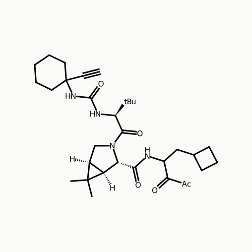 C#CC1(NC(=O)N[C@H](C(=O)N2C[C@H]3[C@@H]([C@H]2C(=O)NC(CC2CCC2)C(=O)C(C)=O)C3(C)C)C(C)(C)C)CCCCC1